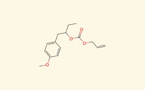 C=CCOC(=O)OC(CC)Cc1ccc(OC)cc1